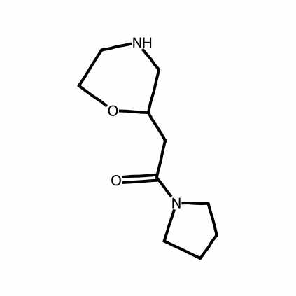 O=C(CC1CNCCO1)N1CCCC1